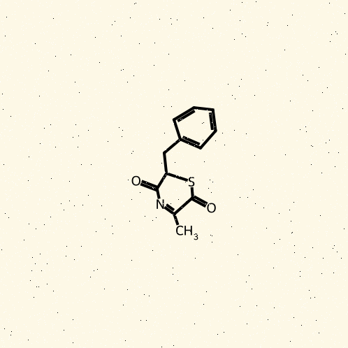 CC1=NC(=O)C(Cc2ccccc2)SC1=O